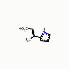 C/C(=C\C(=O)O)c1ccc[nH]1